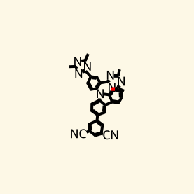 Cc1nc(C)nc(-c2ccc(-n3c4ccccc4c4cc(-c5cc(C#N)cc(C#N)c5)ccc43)c(-c3nc(C)nc(C)n3)c2)n1